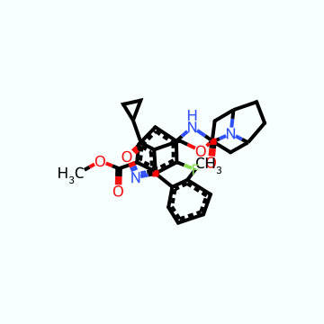 COC(=O)c1ccc(NC(=O)N2C3CCC2CC(OCc2c(-c4ccccc4C)noc2C2CC2)C3)c(F)c1